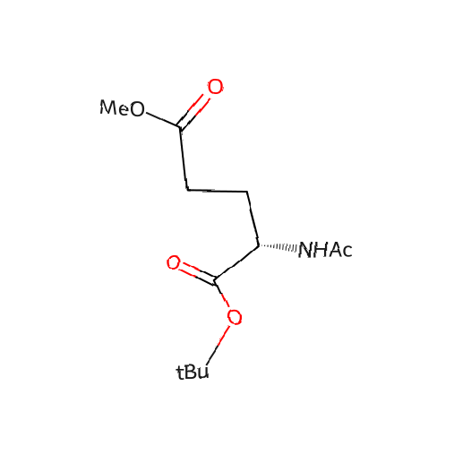 COC(=O)CC[C@H](NC(C)=O)C(=O)OC(C)(C)C